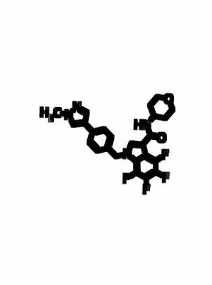 Cn1cc(-c2ccc(Cn3cc(C(=O)NC4CCOCC4)c4c(F)c(F)c(F)c(F)c43)cc2)cn1